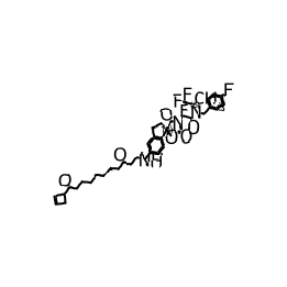 C[C@H](N(Cc1ccc(F)cc1)C(=O)CN1C(=O)O[C@@]2(CCc3cc(NCCC(=O)CCCCCCCC(=O)C4CCC4)ccc32)C1=O)C(F)(F)F